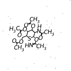 CC(=N)O[C@H]1SC(COC(C)=O)[C@@H](OC(C)=O)C(OC(C)=O)C1NC(C)=O